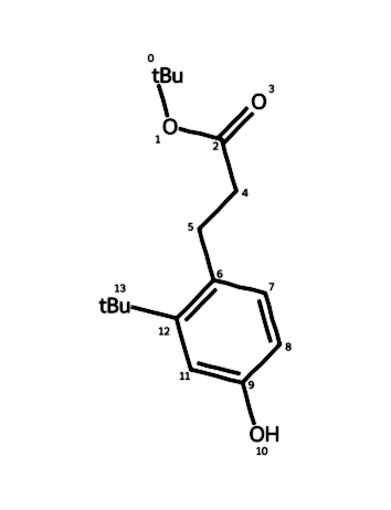 CC(C)(C)OC(=O)CCc1ccc(O)cc1C(C)(C)C